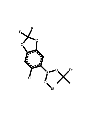 CCOB(OC(C)(C)CC)c1cc2c(cc1Cl)OC(F)(F)O2